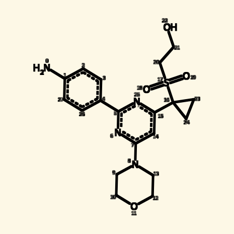 Nc1ccc(-c2nc(N3CCOCC3)cc(C3(S(=O)(=O)CCO)CC3)n2)cc1